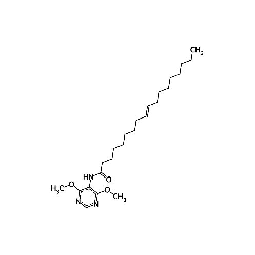 CCCCCCCCC=CCCCCCCCC(=O)Nc1c(OC)ncnc1OC